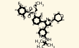 COCN(c1cccc(-c2nn(C3CCOCC3)cc2-c2ccnc(NC(C)(C)C)c2)c1F)S(=O)(=O)c1cc(F)ccc1F